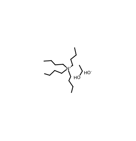 CCCC[N+](CCCC)(CCCC)CCCC.CCO.[OH-]